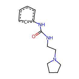 O=C(NCCN1CCCC1)Nc1cc[c]cc1